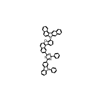 c1ccc(-c2nc(-c3ccc4ccc5oc6c(-n7c8cc9ccccc9cc8c8c9ccccc9ccc87)cccc6c5c4c3)nc(-c3ccc4c5ccccc5n(-c5ccccc5)c4c3)n2)cc1